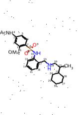 COc1cc(NC(C)=O)ccc1S(=O)(=O)Nc1ccccc1CNCC(C)C1CCCCC1